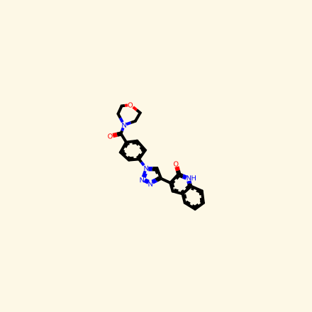 O=C(c1ccc(-n2cc(-c3cc4ccccc4[nH]c3=O)nn2)cc1)N1CCOCC1